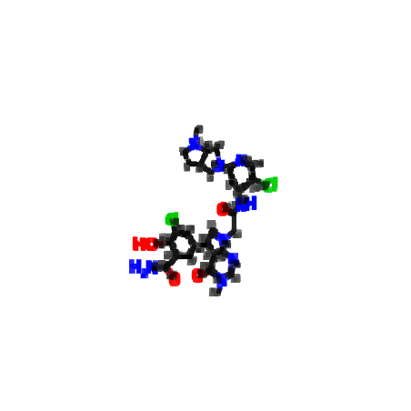 CN1CCC2CN(c3cc(NC(=O)Cn4cc(-c5cc(Cl)c(O)c(C(N)=O)c5)c5c(=O)n(C)cnc54)c(Cl)cn3)CC21